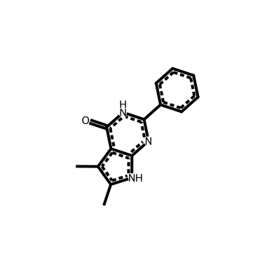 Cc1[nH]c2nc(-c3ccccc3)[nH]c(=O)c2c1C